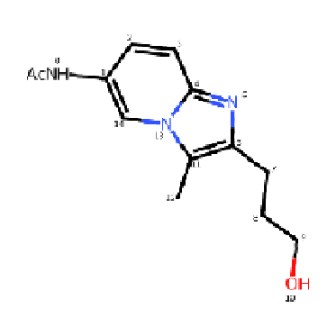 CC(=O)Nc1ccc2nc(CCCO)c(C)n2c1